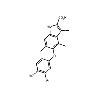 Cc1cc2[nH]c(C(=O)O)c(C)c2c(C)c1Oc1ccc(O)c(C(C)C)c1